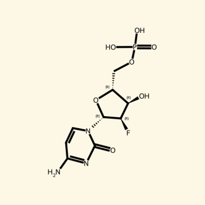 Nc1ccn([C@@H]2O[C@H](COP(=O)(O)O)[C@@H](O)[C@H]2F)c(=O)n1